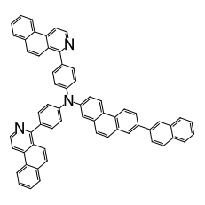 c1ccc2cc(-c3ccc4c(ccc5cc(N(c6ccc(-c7nccc8c7ccc7ccccc78)cc6)c6ccc(-c7nccc8c7ccc7ccccc78)cc6)ccc54)c3)ccc2c1